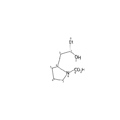 CC[C@H](O)CC1CCCN1C(=O)O